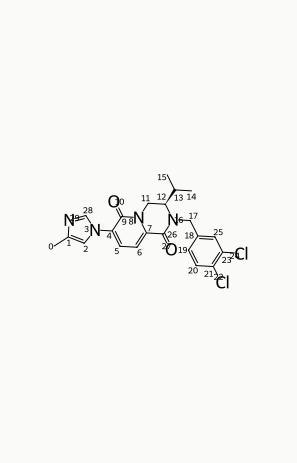 Cc1cn(-c2ccc3n(c2=O)C[C@@H](C(C)C)N(Cc2ccc(Cl)c(Cl)c2)C3=O)cn1